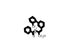 O=C(O)C(=Cc1cccc(-c2ccccc2C(F)(F)F)c1)NC(=O)c1ccccc1